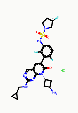 Cl.N[C@H]1C[C@H](n2c(=O)c(-c3c(F)ccc(NS(=O)(=O)N4CC[C@@H](F)C4)c3F)cc3cnc(NCC4CC4)nc32)C1